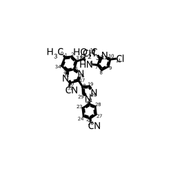 Cc1cc([C@@H](C)Nc2ccc(Cl)nc2C(=O)O)c2nc(-c3cnn(-c4ccc(C#N)cc4)c3)c(C#N)nc2c1